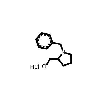 Cl.ClCC1CCCN1Cc1ccccc1